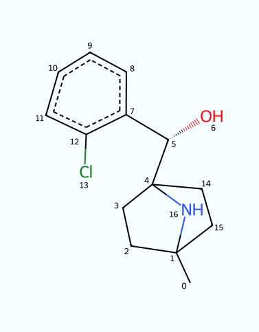 CC12CCC([C@@H](O)c3ccccc3Cl)(CC1)N2